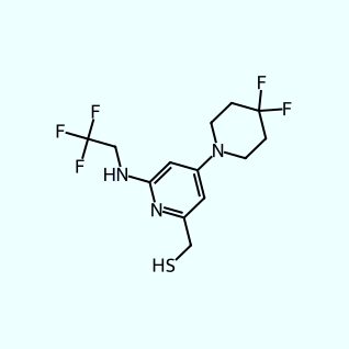 FC(F)(F)CNc1cc(N2CCC(F)(F)CC2)cc(CS)n1